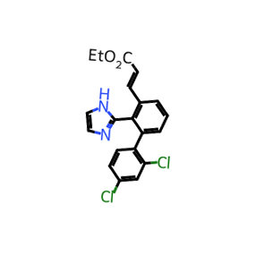 CCOC(=O)/C=C/c1cccc(-c2ccc(Cl)cc2Cl)c1-c1ncc[nH]1